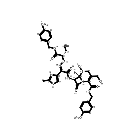 COc1ccc(COC(=O)C2=C(CCl)C[S+]([O-])[C@@H]3[C@H](NC(=O)/C(=N\O[C@@H](CC(C)(C)C)C(=O)OCc4ccc(OC)cc4)c4csc(C)n4)C(=O)N23)cc1